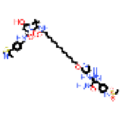 CCS(=O)(=O)Nc1ccc(-c2n[nH]c(Nc3ccnc(OCCCCCCCCCCCCCC(=O)N[C@H](C(=O)N4C[C@H](O)C[C@H]4C(=O)NCc4ccc(-c5scnc5C)cc4)C(C)(C)C)c3)c2C(N)=O)cc1